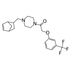 O=C(COc1cccc(C(F)(F)F)c1)N1CCN(CC2CC3C=CC2C3)CC1